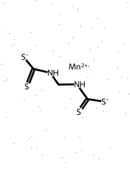 S=C([S-])NCNC(=S)[S-].[Mn+2]